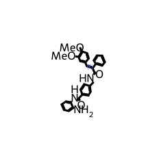 COc1ccc(/C=C(/C(=O)NCc2ccc(C(=O)Nc3ccccc3N)cc2)c2ccccc2)cc1OC